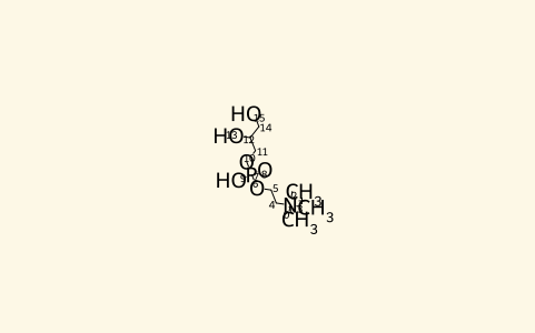 C[N+](C)(C)CCOP(=O)(O)OCC(O)CO